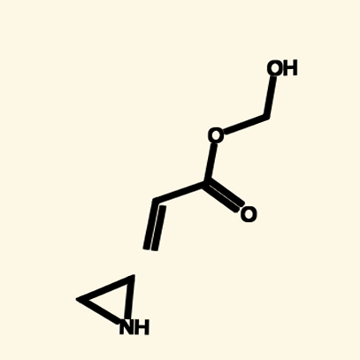 C1CN1.C=CC(=O)OCO